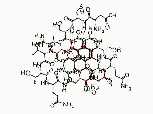 CC[C@H](C)[C@H](NC(=O)[C@H](CC(=O)O)NC(=O)[C@H](CO)NC(=O)[C@H](CCC(N)=O)NC(=O)[C@H](CO)NC(=O)[C@H](CO)NC(=O)[C@H](CC(C)C)NC(=O)CNC(=O)[C@H](CO)NC(=O)[C@H](CS)NC(=O)[C@@H](N)CC(=O)O)C(=O)N[C@@H](CC(C)C)C(=O)N[C@H](C(=O)N[C@H](C(=O)N[C@@H](CCC(N)=O)C(=O)N[C@@H](CCC(N)=O)C(=O)N[C@@H](CCCNC(=N)N)C(=O)N[C@@H](CC(=O)O)C(=O)N[C@H](C(=O)N[C@@H](CCSC)C(=O)O)[C@@H](C)O)[C@@H](C)O)[C@@H](C)O